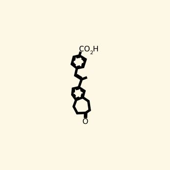 CC(=Cc1ccc(C(=O)O)cc1)c1ccc2c(c1)CCC(=O)CC2